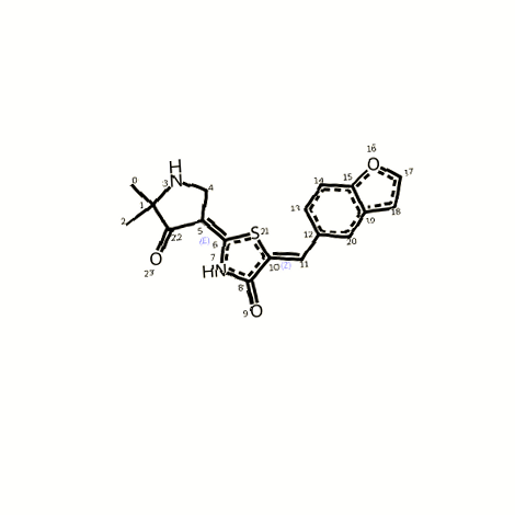 CC1(C)NC/C(=c2/[nH]c(=O)/c(=C/c3ccc4occc4c3)s2)C1=O